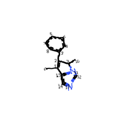 CC1=C(c2ccccc2)C(C)n2cncc21